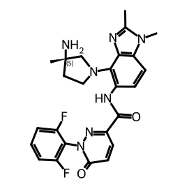 Cc1nc2c(N3CC[C@](C)(N)C3)c(NC(=O)c3ccc(=O)n(-c4c(F)cccc4F)n3)ccc2n1C